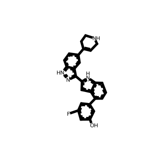 Oc1cc(F)cc(-c2cccc3[nH]c(-c4n[nH]c5ccc(C6=CCNCC6)cc45)cc23)c1